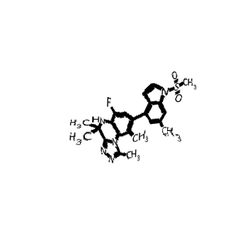 Cc1cc(-c2cc(F)c3c(c2C)-n2c(C)nnc2C(C)(C)N3)c2ccn(S(C)(=O)=O)c2c1